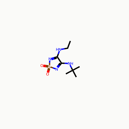 CCNC1=NS(=O)(=O)N=C1NC(C)(C)C